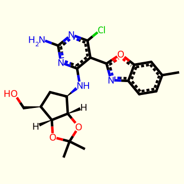 Cc1ccc2nc(-c3c(Cl)nc(N)nc3N[C@@H]3C[C@H](CO)[C@H]4OC(C)(C)O[C@H]43)oc2c1